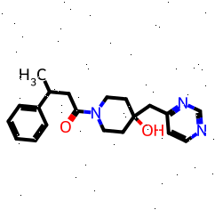 CC(CC(=O)N1CCC(O)(Cc2ccncn2)CC1)c1ccccc1